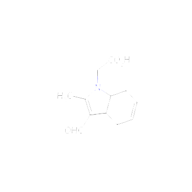 CC1=C(C=O)C2CC=CCC2N1CC(=O)O